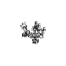 O=S(=O)(CCN1CCCCC1)N[C@H]1CC2=C(c3ccn(C(F)F)n3)[C@H](c3ccc(F)cc3Cl)N=C(c3nccs3)N2C1